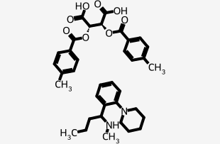 CCCC(NC)c1ccccc1N1CCCCC1.Cc1ccc(C(=O)O[C@H](C(=O)O)[C@H](OC(=O)c2ccc(C)cc2)C(=O)O)cc1